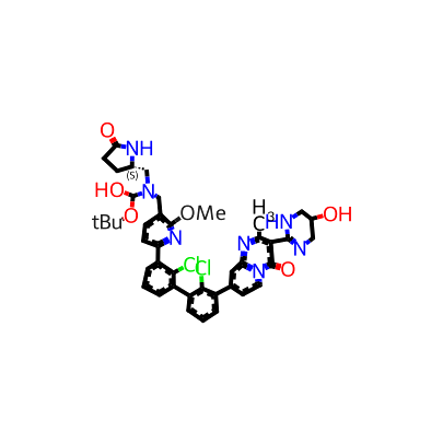 COc1nc(-c2cccc(-c3cccc(-c4ccn5c(=O)c(C6=NCC(O)CN6)c(C)nc5c4)c3Cl)c2Cl)ccc1CN(C[C@@H]1CCC(=O)N1)C(O)OC(C)(C)C